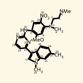 CNCCN(C)c1cc(OC)c(Nc2nccc(-c3cn(C)c4cc(C)ccc34)n2)cc1[N+](=O)[O-]